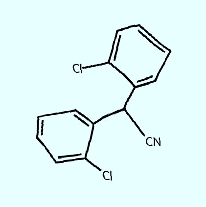 N#CC(c1ccccc1Cl)c1ccccc1Cl